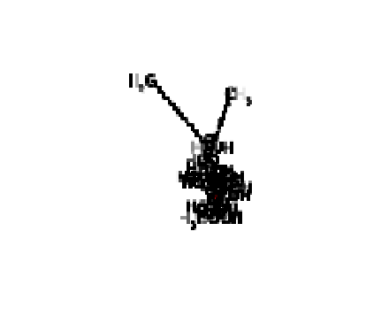 CCCCCCCCCCCCC/C=C/[C@@H](O)[C@H](CO[C@@H]1OC(CO)[C@@H](O[C@@H]2OC(CO)[C@H](O)[C@H](O[C@@H]3OC(CO[C@]4(C(=O)O)CC(O)[C@@H](NC(C)=O)C([C@H](O)[C@H](O)CO)O4)[C@@H](O)[C@H](O[C@@H]4OC(CO)[C@H](O)[C@H](O)C4O)C3NC(C)=O)C2O)[C@H](O)C1O)NC(=O)CCCCCCCCCCCCCCCCCCCCCCC